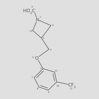 O=C(O)N1CC(COc2cccc(C(F)(F)F)c2)C1